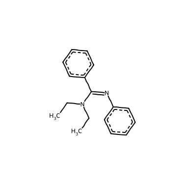 CCN(CC)/C(=N\c1ccccc1)c1ccccc1